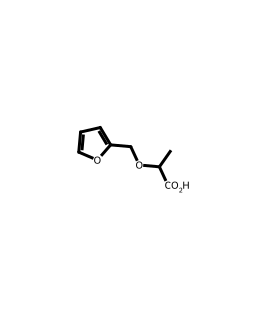 CC(OCc1ccco1)C(=O)O